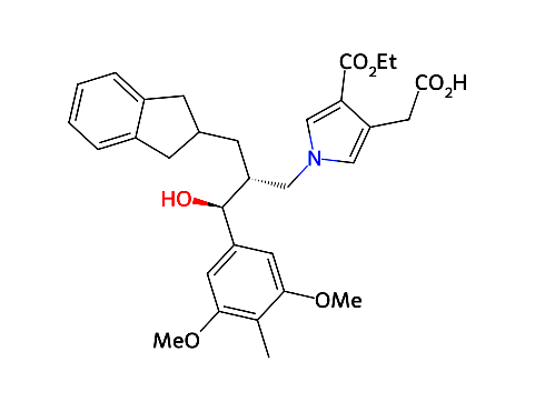 CCOC(=O)c1cn(C[C@@H](CC2Cc3ccccc3C2)[C@H](O)c2cc(OC)c(C)c(OC)c2)cc1CC(=O)O